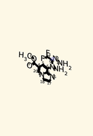 COC(=O)c1cc(N(N)/C(=N\N)C(F)F)c2nccn2c1